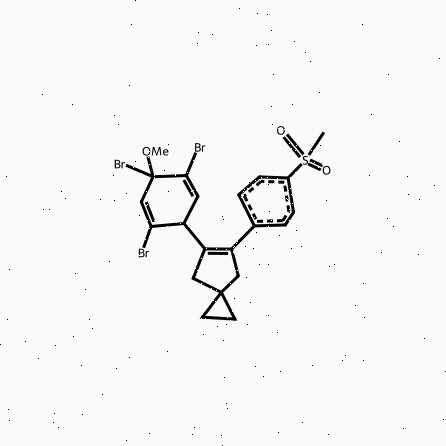 COC1(Br)C=C(Br)C(C2=C(c3ccc(S(C)(=O)=O)cc3)CC3(CC3)C2)C=C1Br